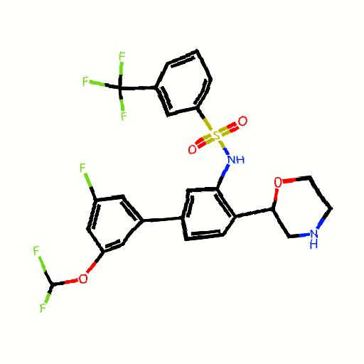 O=S(=O)(Nc1cc(-c2cc(F)cc(OC(F)F)c2)ccc1C1CNCCO1)c1cccc(C(F)(F)F)c1